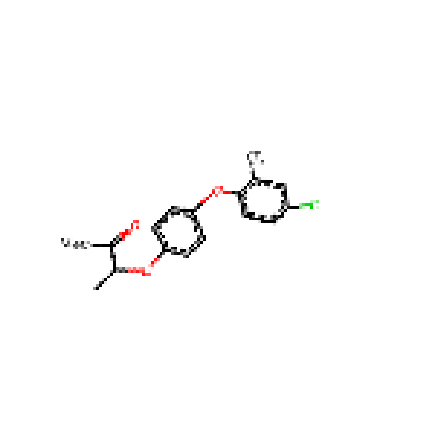 COC(=O)C(C)Oc1ccc(Oc2ccc(Cl)cc2C(F)(F)F)cc1